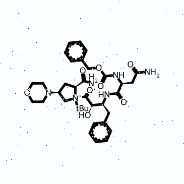 CC(C)(C)[N+]1(C(=O)[C@@H](O)[C@H](Cc2ccccc2)NC(=O)[C@H](CC(N)=O)NC(=O)OCc2ccccc2)C[C@@H](N2CCOCC2)C[C@H]1C(N)=O